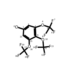 [O]c1cc(OC(F)(F)F)c(OC(F)(F)F)c(OC(F)(F)F)c1